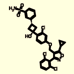 NS(=O)(=O)c1cccc([C@H]2C[C@](O)(c3ccc(OCc4c(-c5c(Cl)cccc5Cl)noc4C4CC4)cc3Cl)C2)c1